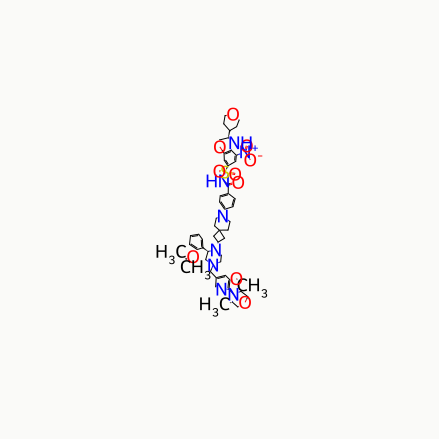 COc1cc(CN2CCN(C3CC4(CCN(c5ccc(C(=O)NS(=O)(=O)c6cc7c(c([N+](=O)[O-])c6)N[C@H](C6CCOCC6)CO7)cc5)CC4)C3)[C@H](c3ccccc3OC(C)C)C2)cnc1N1CCOC[C@@H]1C